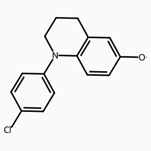 [O]c1ccc2c(c1)CCCN2c1ccc(Cl)cc1